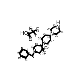 FC1(F)CN(Cc2ccccc2)CCC1N1CCC(N2CCNCC2)CC1.O=C(O)C(F)(F)F